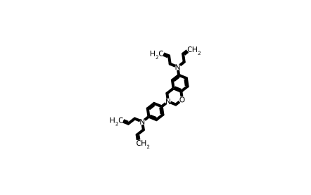 C=CCN(CC=C)c1ccc(N2COc3ccc(N(CC=C)CC=C)cc3C2)cc1